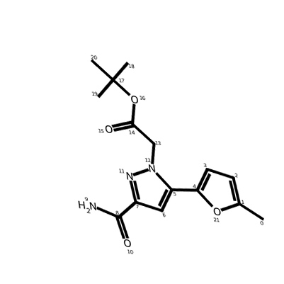 Cc1ccc(-c2cc(C(N)=O)nn2CC(=O)OC(C)(C)C)o1